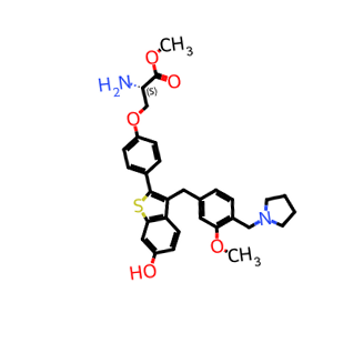 COC(=O)[C@@H](N)COc1ccc(-c2sc3cc(O)ccc3c2Cc2ccc(CN3CCCC3)c(OC)c2)cc1